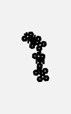 CC1(C)c2ccccc2-c2nc(-n3c4ccccc4c4c5c6ccc(CC7(C)c8ccccc8-c8nc(-c9ccc(-n%10c%11ccccc%11c%11c%12c%13ccccc%13c%13ccccc%13c%12c%12ccccc%12c%11%10)cc9)nc9cccc7c89)cc6c6ccccc6c5c5ccccc5c43)nc3cccc1c23